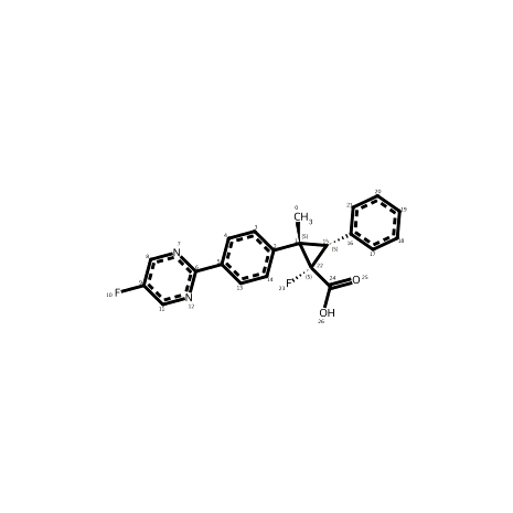 C[C@@]1(c2ccc(-c3ncc(F)cn3)cc2)[C@H](c2ccccc2)[C@@]1(F)C(=O)O